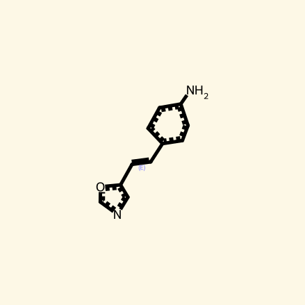 Nc1ccc(/C=C/c2cnco2)cc1